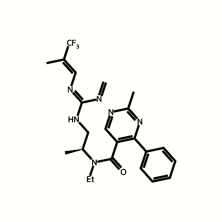 C=N/C(=N\C=C(/C)C(F)(F)F)NC[C@H](C)N(CC)C(=O)c1cnc(C)nc1-c1ccccc1